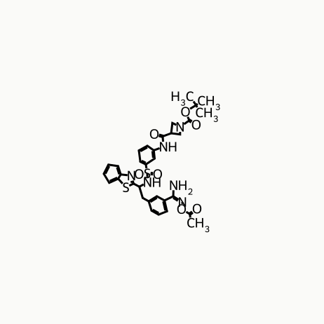 CC(=O)O/N=C(/N)c1cccc(CC(NS(=O)(=O)c2cccc(NC(=O)C3CN(C(=O)OC(C)(C)C)C3)c2)c2nc3ccccc3s2)c1